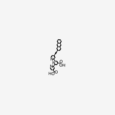 O=C(O)c1ccnc(-c2cc(C(=O)O)cc(-c3cc(C#Cc4ccc5cc6ccccc6cc5c4)ccn3)n2)c1